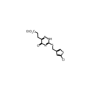 CCOC(=O)CCc1n[nH]c(SCc2csc(Cl)c2)nc1=O